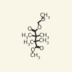 COCOC(=O)C(C)(C)C(C)(C)C(=O)OC